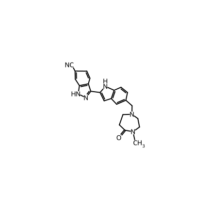 CN1CCN(Cc2ccc3[nH]c(-c4n[nH]c5cc(C#N)ccc45)cc3c2)CCC1=O